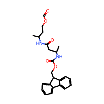 CC(CCOC=O)NC(=O)CC(C)NC(=O)OCC1c2ccccc2-c2ccccc21